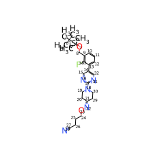 CC(C)(C)[Si](C)(C)OCc1cccc(-c2cnc(N3CCC(=NOCCCC#N)CC3)nc2)c1F